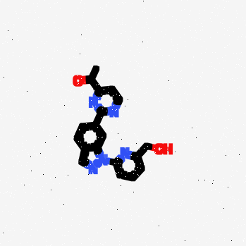 CC(=O)c1ccnc(-c2ccc3cnn(-c4cccc(CO)n4)c3c2)n1